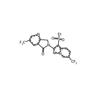 CCS(=O)(=O)c1c(N2Cc3ncc(C(F)(F)F)cc3C2=O)nn2cc(C(F)(F)F)ccc12